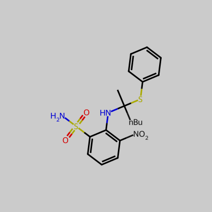 CCCCC(C)(Nc1c([N+](=O)[O-])cccc1S(N)(=O)=O)Sc1ccccc1